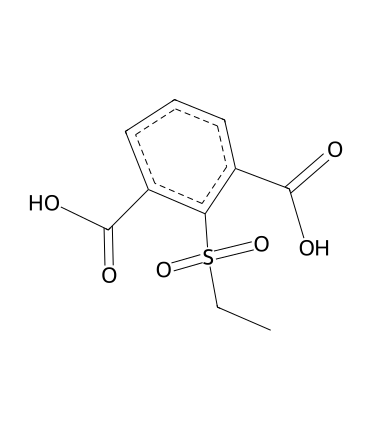 CCS(=O)(=O)c1c(C(=O)O)cccc1C(=O)O